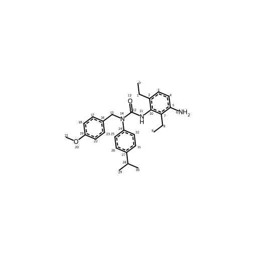 CCc1ccc(N)c(CC)c1NC(=O)N(Cc1ccc(OC)cc1)c1ccc(C(C)C)cc1